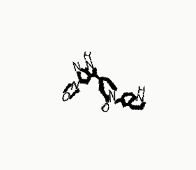 O=c1cc(-c2c[nH]c3ncc(N4CCOCC4)cc23)ccn1Cc1ccc2c(c1)C=CCN2